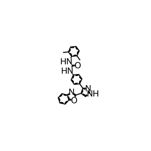 Cc1cccc(C)c1NC(=O)Nc1ccc(-c2n[nH]cc2-c2nc3ccccc3o2)cc1